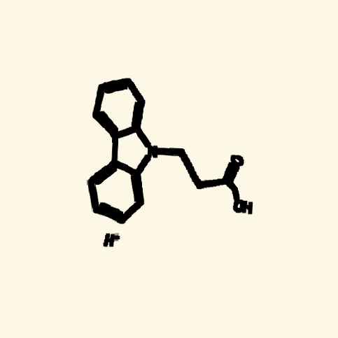 O=C(O)CCn1c2ccccc2c2ccccc21.[H+]